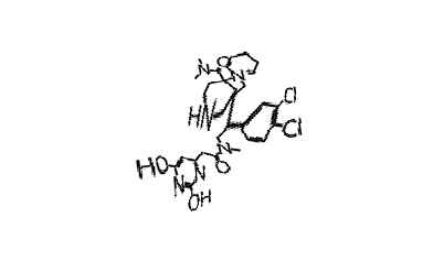 CN(C)C(=O)C1([N+]2(CCC(CN(C)C(=O)Cc3cc(O)nc(O)n3)c3ccc(Cl)c(Cl)c3)CCCCC2)CCNCC1